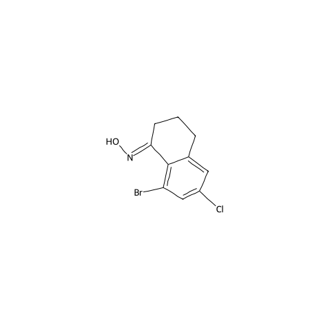 O/N=C1\CCCc2cc(Cl)cc(Br)c21